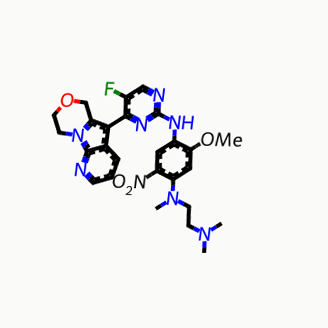 COc1cc(N(C)CCN(C)C)c([N+](=O)[O-])cc1Nc1ncc(F)c(-c2c3n(c4ncccc24)CCOC3)n1